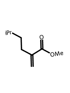 C=C(CCC(C)C)C(=O)OC